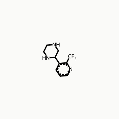 FC(F)(F)c1ncccc1C1CNCCN1